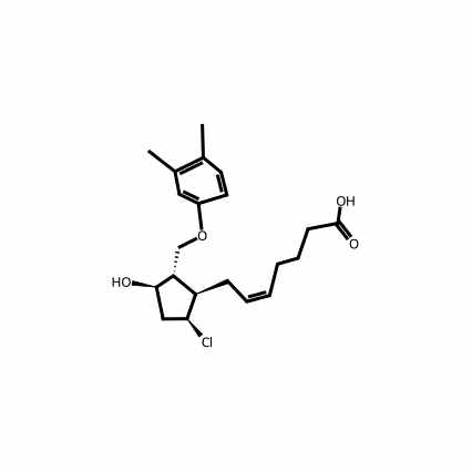 Cc1ccc(OC[C@@H]2[C@@H](C/C=C\CCCC(=O)O)[C@@H](Cl)C[C@H]2O)cc1C